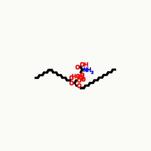 CCCCCC/C=C\CCCCCCCC(=O)O[C@H](CO/C=C\CCCCCCCCCCCCCC)COP(=O)(O)OC[C@H](N)C(=O)O